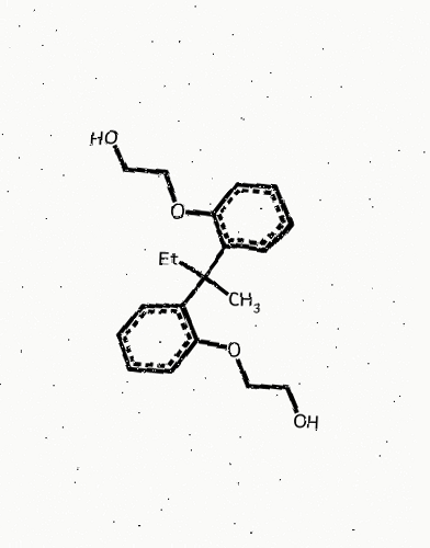 CCC(C)(c1ccccc1OCCO)c1ccccc1OCCO